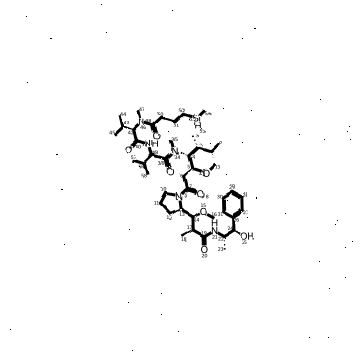 CC[C@@H](C)[C@H]([C@H](CC(=O)N1CCC[C@@H]1[C@@H](OC)[C@H](C)C(=O)N[C@@H](C)[C@H](O)c1ccccc1)OC)N(C)C(=O)C(NC(=O)[C@@H](C(C)C)N(C)C(=O)CCC[SiH](C)C)C(C)C